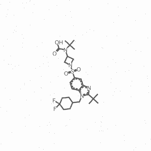 CC(C)(C)c1nc2cc(S(=O)(=O)N3CC(N(C(=O)O)C(C)(C)C)C3)ccc2n1CC1CCC(F)(F)CC1